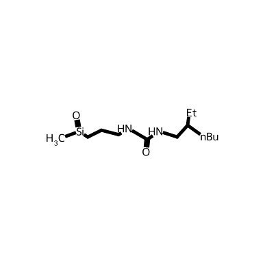 CCCCC(CC)CNC(=O)NCCC[Si](C)=O